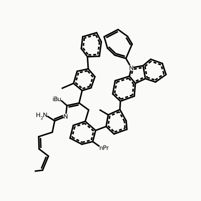 C/C=C\C=C/C/C(N)=N/C(=C(\Cc1cccc(CCC)c1-c1cccc(-c2ccc3c(c2)c2ccccc2n3C2=C=CC=CC=C2)c1C)c1ccc(-c2ccccc2)cc1C)C(C)CC